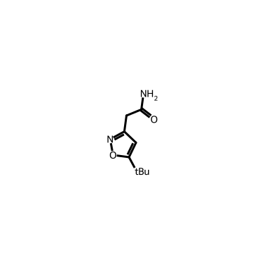 CC(C)(C)c1cc(CC(N)=O)no1